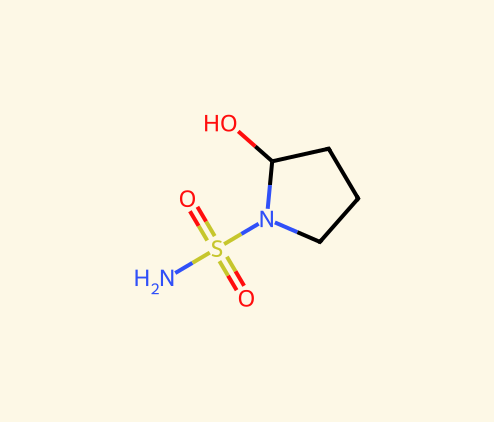 NS(=O)(=O)N1CCCC1O